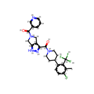 Cc1c(F)ccc(C2CCN(C(=O)c3n[nH]c4c3CN(C(=O)c3cccnc3)C4)CC2)c1C(F)(F)F